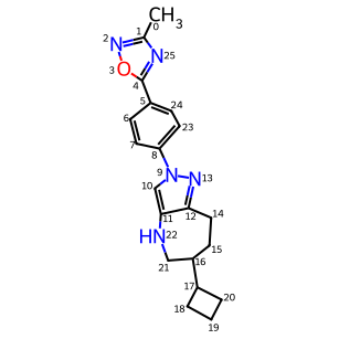 Cc1noc(-c2ccc(-n3cc4c(n3)CCC(C3CCC3)CN4)cc2)n1